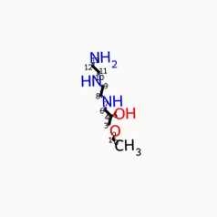 CCOCC(O)CNCCNCCN